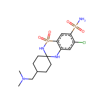 CN(C)CC1CCC2(CC1)Nc1cc(Cl)c(S(N)(=O)=O)cc1S(=O)(=O)N2